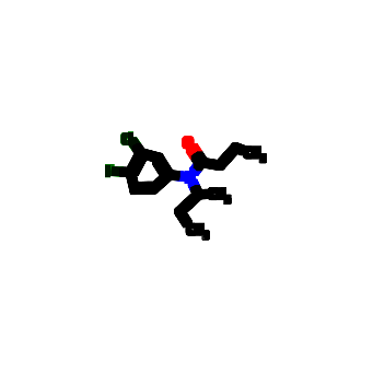 CCCC(=O)N(c1ccc(F)c(Cl)c1)C(C)CC